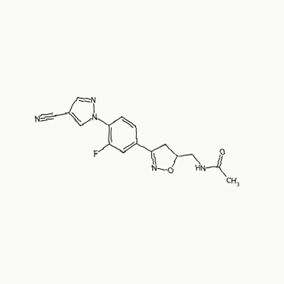 CC(=O)NCC1CC(c2ccc(-n3cc(C#N)cn3)c(F)c2)=NO1